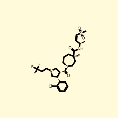 C[C@H](/C=C\S(C)(=O)=O)NC(=O)[C@@]1(F)CCCN(C(=O)[C@H]2CN(CCC(F)(F)F)C[C@H]2c2ccccc2Cl)CC1